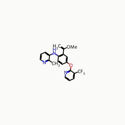 C=C(OC)c1cc(Oc2ncccc2C(F)(F)F)ccc1Nc1cccnc1C